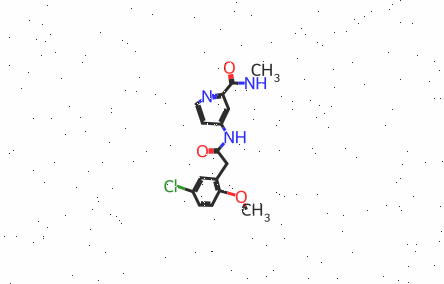 CNC(=O)c1cc(NC(=O)Cc2cc(Cl)ccc2OC)ccn1